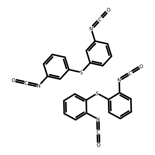 O=C=Nc1cccc(Sc2cccc(N=C=O)c2)c1.O=C=Nc1ccccc1Sc1ccccc1N=C=O